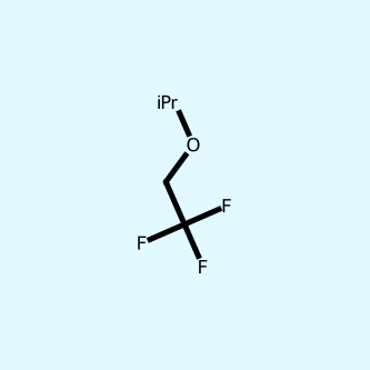 CC(C)OCC(F)(F)F